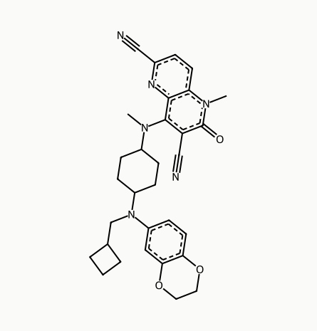 CN(c1c(C#N)c(=O)n(C)c2ccc(C#N)nc12)C1CCC(N(CC2CCC2)c2ccc3c(c2)OCCO3)CC1